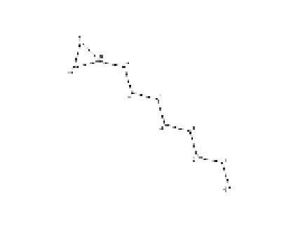 CCCC[CH]CCCC1CC1